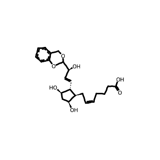 O=C(O)CCC/C=C\C[C@@H]1[C@@H](/C=C/[C@H](O)C2OCc3ccccc3O2)[C@H](O)C[C@@H]1O